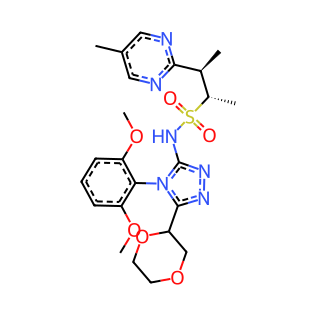 COc1cccc(OC)c1-n1c(NS(=O)(=O)[C@@H](C)[C@H](C)c2ncc(C)cn2)nnc1C1COCCO1